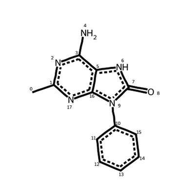 Cc1nc(N)c2[nH]c(=O)n(-c3ccccc3)c2n1